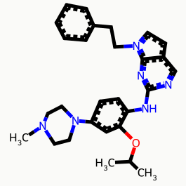 CC(C)Oc1cc(N2CCN(C)CC2)ccc1Nc1ncc2ccn(CCc3ccccc3)c2n1